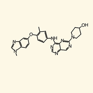 Cc1cc(Nc2ncnc3cnc(N4CCC(O)CC4)nc23)ccc1Oc1ccc2c(c1)ncn2C